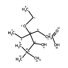 CCOC(CC)(CC)C(O)[N+](C)(C)C.O=CO